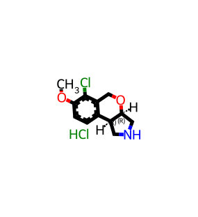 COc1ccc2c(c1Cl)CO[C@H]1CNC[C@@H]21.Cl